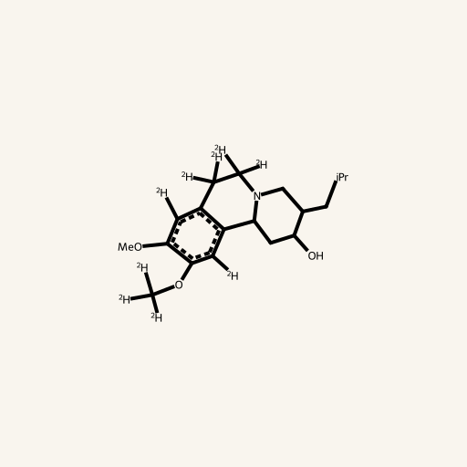 [2H]c1c(OC([2H])([2H])[2H])c(OC)c([2H])c2c1C1CC(O)C(CC(C)C)CN1C([2H])([2H])C2([2H])[2H]